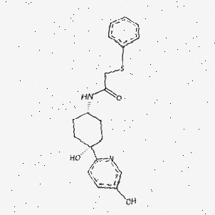 O=C(CSc1ccccc1)N[C@H]1CC[C@](O)(c2ccc(O)cn2)CC1